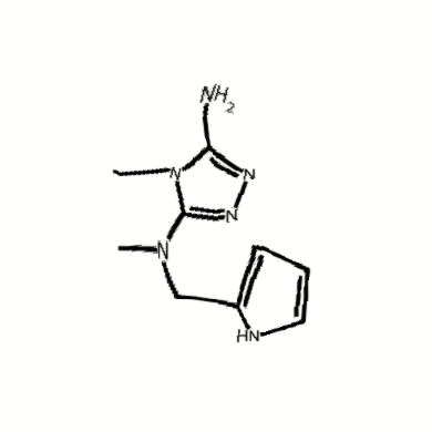 CN(Cc1ccc[nH]1)c1nnc(N)n1C